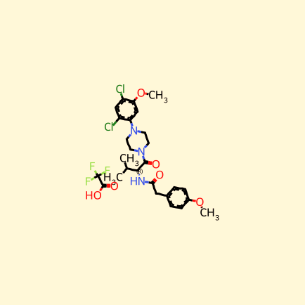 COc1ccc(CC(=O)N[C@@H](C(=O)N2CCN(c3cc(OC)c(Cl)cc3Cl)CC2)C(C)C)cc1.O=C(O)C(F)(F)F